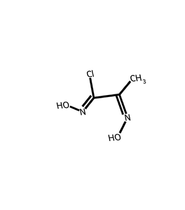 CC(=NO)C(Cl)=NO